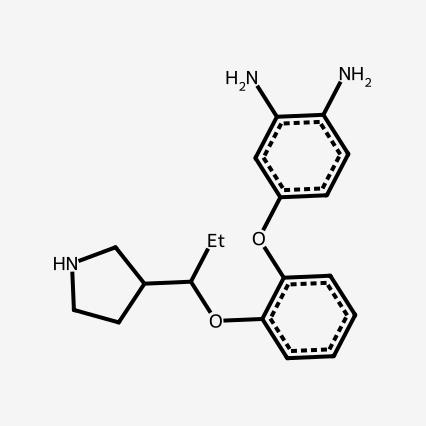 CCC(Oc1ccccc1Oc1ccc(N)c(N)c1)C1CCNC1